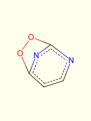 c1cc2nc(n1)OO2